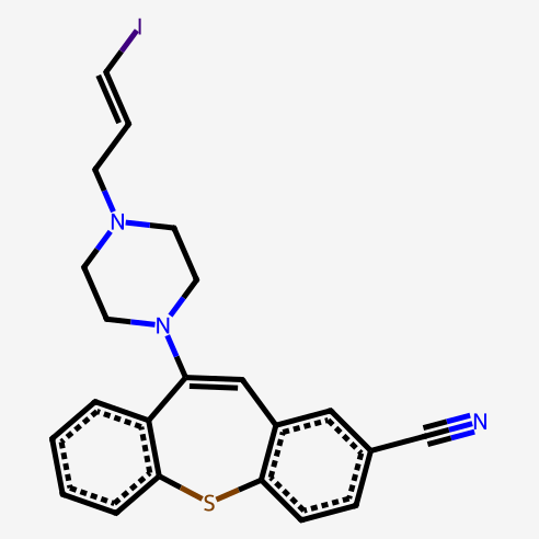 N#Cc1ccc2c(c1)C=C(N1CCN(CC=CI)CC1)c1ccccc1S2